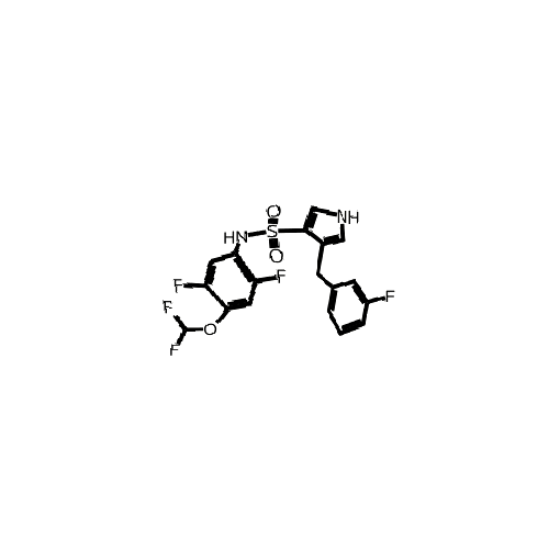 O=S(=O)(Nc1cc(F)c(OC(F)F)cc1F)c1c[nH]cc1Cc1cccc(F)c1